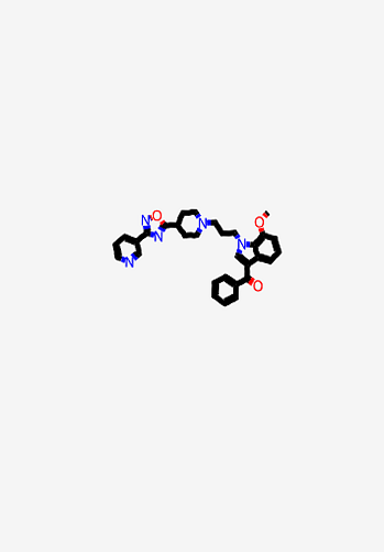 COc1cccc2c(C(=O)c3ccccc3)cn(CCCN3CCC(c4nc(-c5cccnc5)no4)CC3)c12